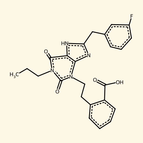 CCCn1c(=O)c2[nH]c(Cc3cccc(F)c3)nc2n(CCc2ccccc2C(=O)O)c1=O